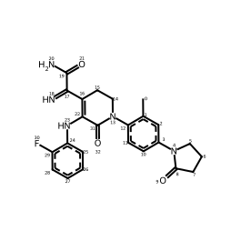 Cc1cc(N2CCCC2=O)ccc1N1CCC(C(=N)C(N)=O)=C(Nc2ccccc2F)C1=O